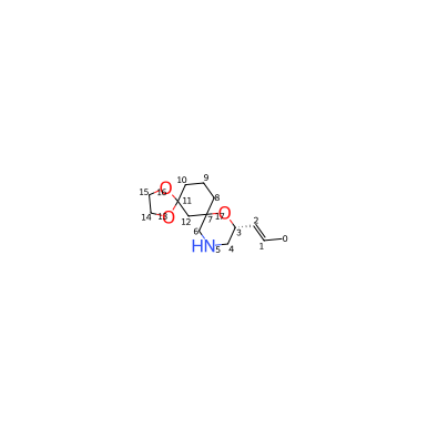 C/C=C/[C@@H]1CNCC2(CCCC3(C2)OCCO3)O1